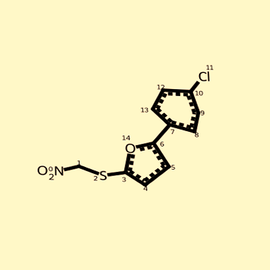 O=[N+]([O-])CSc1ccc(-c2ccc(Cl)cc2)o1